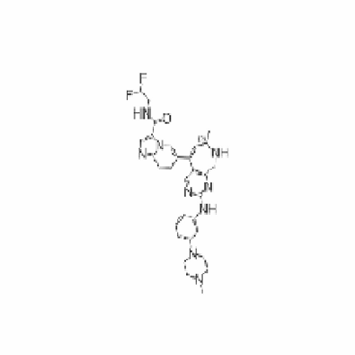 C[C@@H]1C=C(c2ccc3ncc(C(=O)NCC(F)F)n3c2)c2cnc(Nc3cccc(N4CCN(C)CC4)c3)nc2CN1